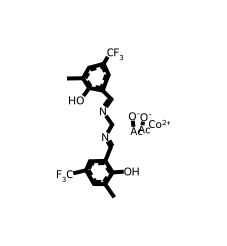 CC(=O)[O-].CC(=O)[O-].Cc1cc(C(F)(F)F)cc(C=NCN=Cc2cc(C(F)(F)F)cc(C)c2O)c1O.[Co+2]